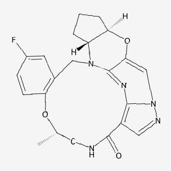 C[C@H]1CNC(=O)c2cnn3cc4c(nc23)N(Cc2cc(F)ccc2O1)[C@@H]1CCC[C@H]1O4